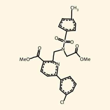 COC(=O)CN(Cc1nc(-c2cccc(Cl)c2)ccc1C(=O)OC)S(=O)(=O)c1ccc(C)cc1